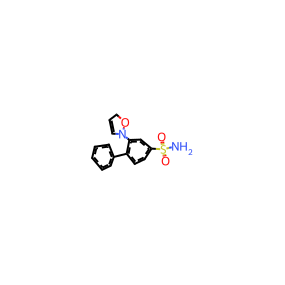 NS(=O)(=O)c1ccc(-c2ccccc2)c(N2C=CCO2)c1